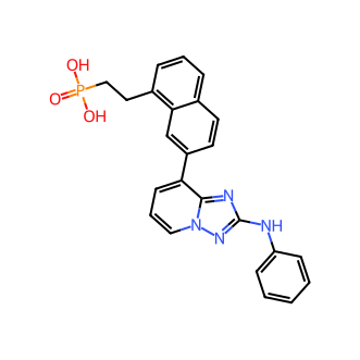 O=P(O)(O)CCc1cccc2ccc(-c3cccn4nc(Nc5ccccc5)nc34)cc12